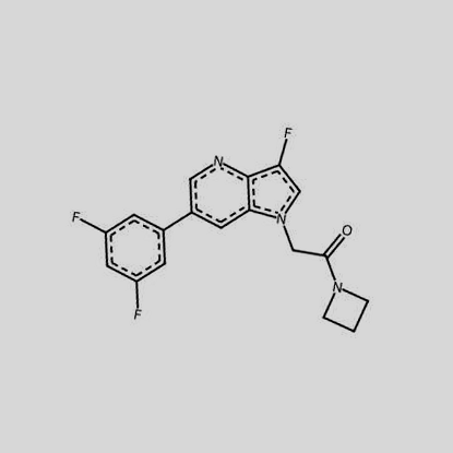 O=C(Cn1cc(F)c2ncc(-c3cc(F)cc(F)c3)cc21)N1CCC1